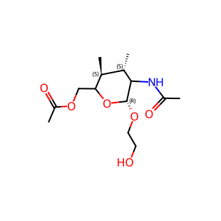 CC(=O)NC1[C@H](OCCO)OC(COC(C)=O)[C@@H](C)[C@@H]1C